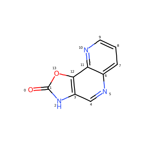 O=c1[nH]c2cnc3cccnc3c2o1